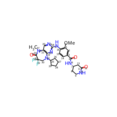 COc1cc(C(=O)N[C@H]2CCNC(=O)C2)ccc1Nc1ncc2c(n1)N(C1CCCC1)CC(F)(F)C(=O)N2C